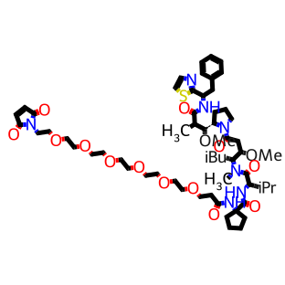 CCC(C)C(C(CC(=O)N1CCC[C@H]1C(OC)C(C)C(=O)NC(Cc1ccccc1)c1nccs1)OC)N(C)C(=O)C(NC(=O)C1(NC(=O)CCOCCOCCOCCOCCOCCOCCN2C(=O)C=CC2=O)CCCC1)C(C)C